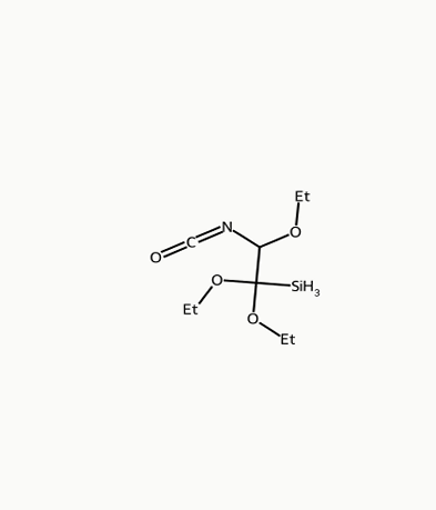 CCOC(N=C=O)C([SiH3])(OCC)OCC